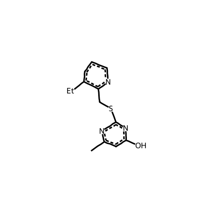 CCc1cccnc1CSc1nc(C)cc(O)n1